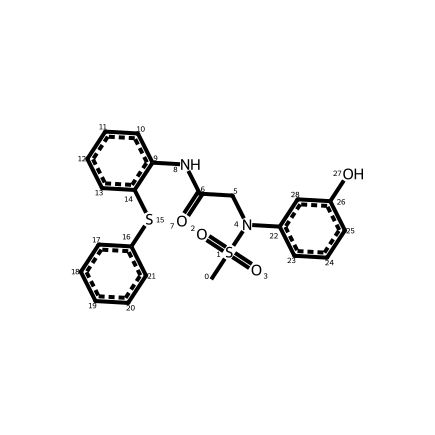 CS(=O)(=O)N(CC(=O)Nc1ccccc1Sc1ccccc1)c1cccc(O)c1